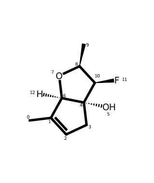 CC1=CC[C@@]2(O)[C@@H]1O[C@@H](C)[C@H]2F